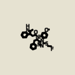 COc1ccc(-n2c(SCCF)nnc2C(Cc2ccccc2)NC(=O)Cc2c(C)[nH]c3ccccc23)cc1